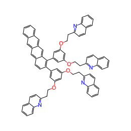 c1ccc2cc3cc4c(-c5cc(OCCc6ccc7ccccc7n6)cc(OCCc6ccc7ccccc7n6)c5)c(-c5cc(OCCc6ccc7ccccc7n6)cc(OCCc6ccc7ccccc7n6)c5)ccc4cc3cc2c1